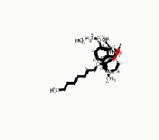 CCCCCCCCOC(=O)C1=C[C@H](O)C[C@@H]2Oc3c(OC)ccc4c3[C@]12CCN(C)C4.Cl